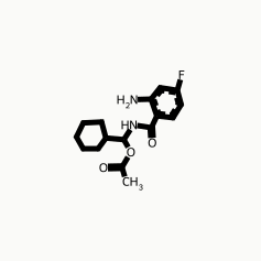 CC(=O)OC(NC(=O)c1ccc(F)cc1N)C1CCCCC1